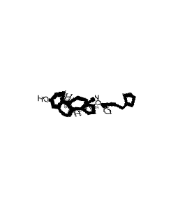 N#CC12CC[C@@H]3c4ccc(O)cc4CC[C@H]3[C@@H]1CC[C@@H]2OC(=O)CCC1CCCC1